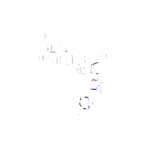 CC(C)C1=C2C3CC[C@@H]4C5(C)CC[C@H](C)C(C)(C)[C@@H]5CC[C@@]4(C)[C@]3(C)CC[C@@]2(c2nnc(-c3ccc(Cl)cn3)o2)CC1